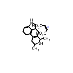 CC1CC2=C(CC3CNC4=CCCC2=C43)C(C)N1.O=C(O)/C=C\C(=O)O